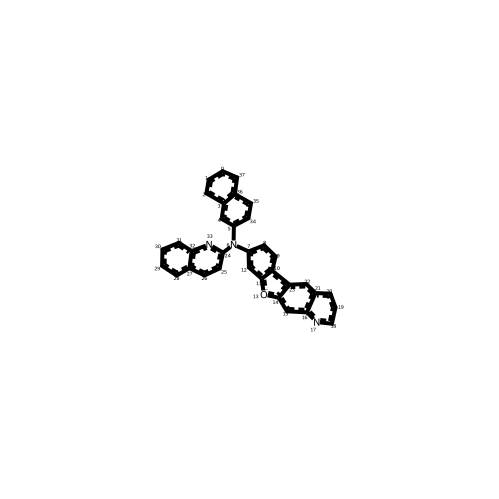 c1ccc2cc(N(c3ccc4c(c3)oc3cc5ncccc5cc34)c3ccc4ccccc4n3)ccc2c1